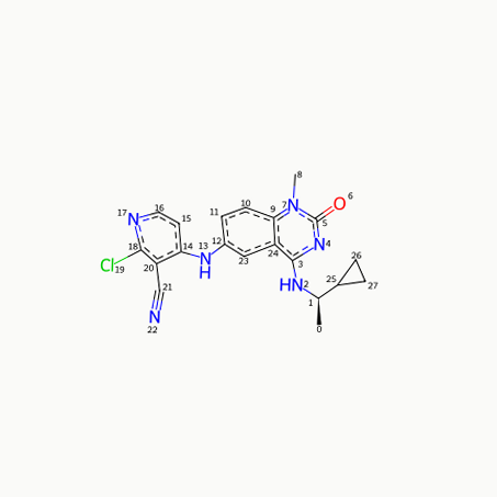 C[C@@H](Nc1nc(=O)n(C)c2ccc(Nc3ccnc(Cl)c3C#N)cc12)C1CC1